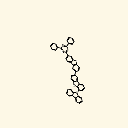 c1ccc(-c2nc(-c3ccccc3)nc(-c3ccc4c(c3)sc3ccc(-c5ccc6oc7c(-n8c9ccccc9c9ccccc98)cccc7c6c5)cc34)n2)cc1